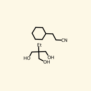 CCC(CO)(CO)CO.N#CCCC1CCCCC1